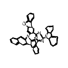 C1=C(c2nc(-c3ccccc3)nc(-n3c4ccccc4c4ccccc43)n2)C(n2c3ccccc3c3cc4ccccc4cc32)=CC2Oc3ccccc3C12